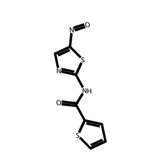 O=Nc1cnc(NC(=O)c2cccs2)s1